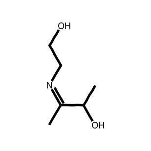 CC(=NCCO)C(C)O